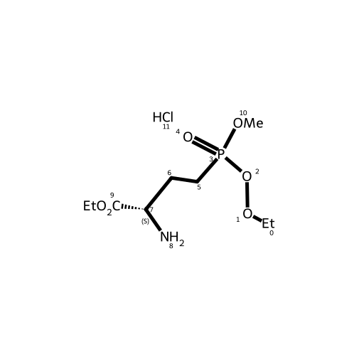 CCOOP(=O)(CC[C@H](N)C(=O)OCC)OC.Cl